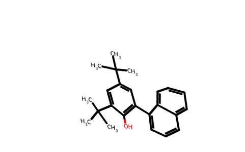 CC(C)(C)c1cc(-c2cccc3ccccc23)c(O)c(C(C)(C)C)c1